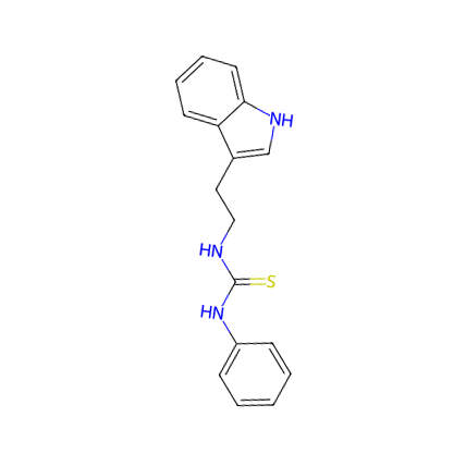 S=C(NCCc1c[nH]c2ccccc12)Nc1ccccc1